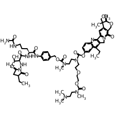 CCc1c2c(nc3ccc(OC(=O)N(CCOCCOC(=O)N(C)CCN(C)C)CCN(C)C(=O)OCc4ccc(NC(=O)[C@H](CCCNC(N)=O)NC(=O)[C@@H](NN5C(=O)CC(CC)C5=O)C(C)C)cc4)cc13)-c1cc3c(c(=O)n1C2)COC(=O)C3(C)CC